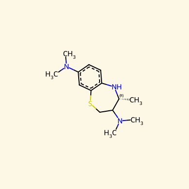 C[C@H]1Nc2ccc(N(C)C)cc2SCC1N(C)C